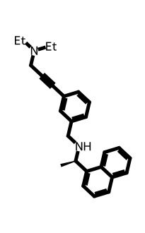 CCN(CC)CC#Cc1cccc(CN[C@H](C)c2cccc3ccccc23)c1